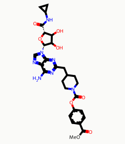 COC(=O)c1ccc(OC(=O)N2CCC(Cc3nc(N)c4ncn([C@@H]5O[C@H](C(=O)NC6CC6)C(O)C5O)c4n3)CC2)cc1